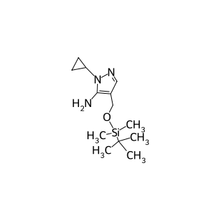 CC(C)(C)[Si](C)(C)OCc1cnn(C2CC2)c1N